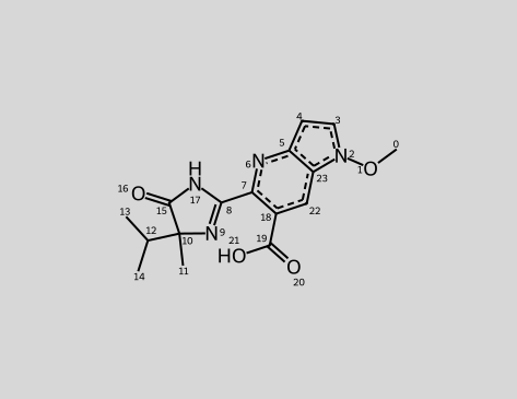 COn1ccc2nc(C3=NC(C)(C(C)C)C(=O)N3)c(C(=O)O)cc21